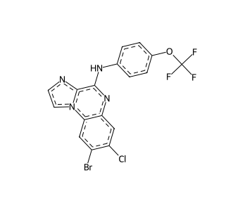 FC(F)(F)Oc1ccc(Nc2nc3cc(Cl)c(Br)cc3n3ccnc23)cc1